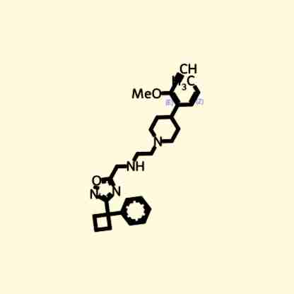 C#C/C(OC)=C(\C=C/C)C1CCN(CCNCc2nc(C3(c4ccccc4)CCC3)no2)CC1